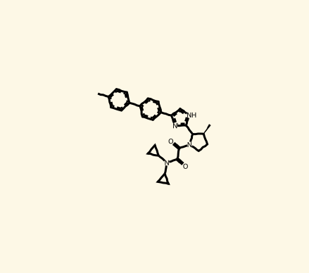 Cc1ccc(-c2ccc(-c3c[nH]c(C4[C@@H](C)CCN4C(=O)C(=O)N(C4CC4)C4CC4)n3)cc2)cc1